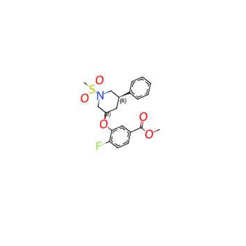 COC(=O)c1ccc(F)c(O[C@@H]2C[C@H](c3ccccc3)CN(S(C)(=O)=O)C2)c1